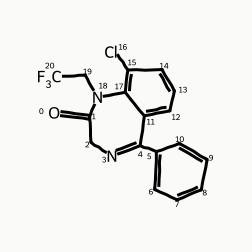 O=C1CN=C(c2ccccc2)c2cccc(Cl)c2N1CC(F)(F)F